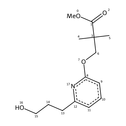 COC(=O)C(C)(C)COc1cccc(CCCO)n1